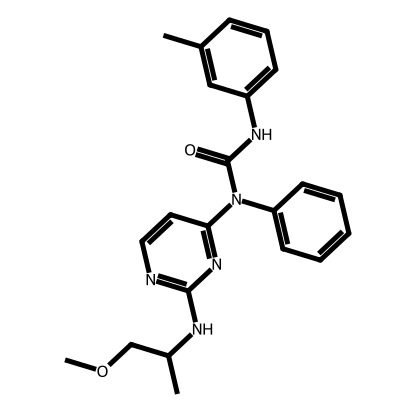 COCC(C)Nc1nccc(N(C(=O)Nc2cccc(C)c2)c2ccccc2)n1